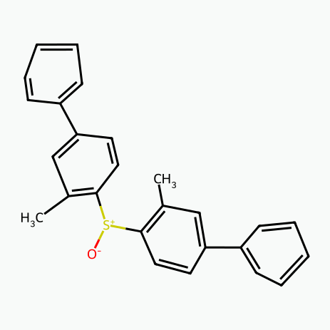 Cc1cc(-c2ccccc2)ccc1[S+]([O-])c1ccc(-c2ccccc2)cc1C